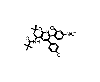 [C-]#[N+]c1ccc(-c2nc3c(cc2-c2ccc(Cl)cc2)C(NC(=O)C(C)(C)C)CC(C)(C)O3)c(Cl)c1